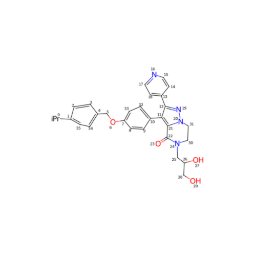 CC(C)c1ccc(COc2ccc(-c3c(-c4ccncc4)nn4c3C(=O)N(CC(O)CO)CC4)cc2)cc1